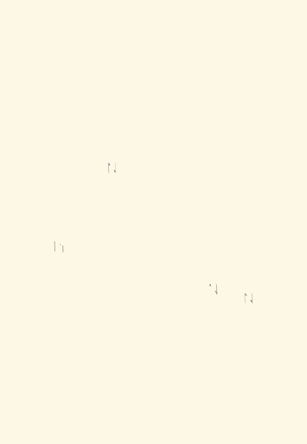 CC(C)c1cncc(-c2ccn[nH]2)c1